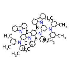 Cc1cc(C)cc(N(c2cc(C)cc(C)c2)c2cc3c4c(c2)-n2c5ccccc5c5cccc(c52)B4c2cc4c5c6c2N3c2cc(C)ccc2B6c2ccc(C)cc2N5c2cc(N(c3cc(C)cc(C)c3)c3cc(C)ccc3C)cc3c2B4c2cccc4c5ccccc5n-3c24)c1